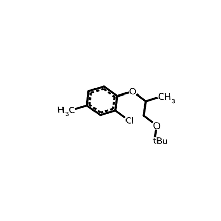 Cc1ccc(OC(C)COC(C)(C)C)c(Cl)c1